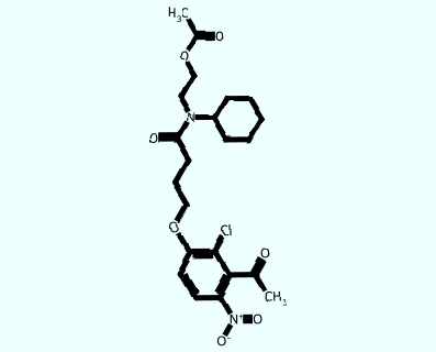 CC(=O)OCCN(C(=O)CCCOc1ccc([N+](=O)[O-])c(C(C)=O)c1Cl)C1CCCCC1